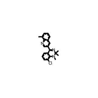 Cc1cccc2cc(C3=NC(C)(C)N(C)c4c(Cl)cccc43)cnc12